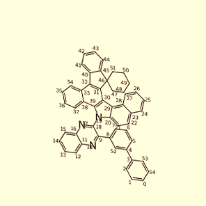 c1ccc(-c2cccc(-c3nc4ccccc4nc3-n3c4ccc5ccccc5c4c4c5c(c6ccccc6c43)-c3ccccc3C53CCCCC3)c2)cc1